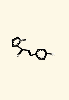 CCc1ccc(/C=C/C(=O)c2cccn2C)cc1